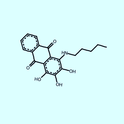 CCCCCNc1c(O)c(O)c(O)c2c1C(=O)c1ccccc1C2=O